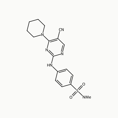 CNS(=O)(=O)c1ccc(Nc2ncc(C#N)c(N3CCCCC3)n2)cc1